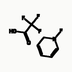 FN1C=CC=CC1.O=C(O)C(F)(F)F